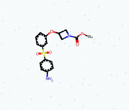 CC(C)(C)OC(=O)N1CC(Oc2cccc(S(=O)(=O)c3ccc(N)cc3)c2)C1